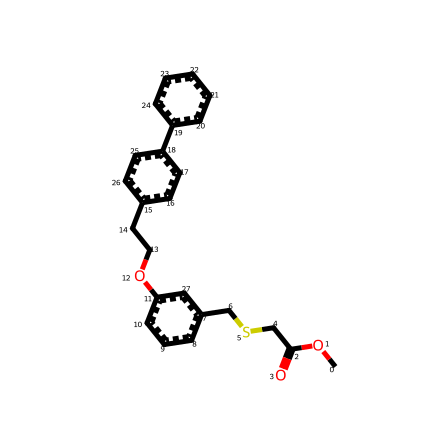 COC(=O)CSCc1cccc(OCCc2ccc(-c3ccccc3)cc2)c1